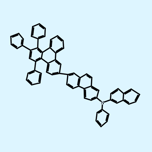 c1ccc(-c2cc(-c3ccccc3)c3c4ccc(-c5ccc6c(ccc7cc(N(c8ccccc8)c8ccc9ccccc9c8)ccc76)c5)cc4c4ccccc4c3c2-c2ccccc2)cc1